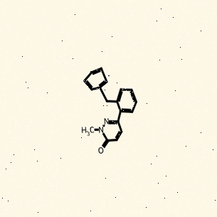 Cn1nc(-c2ccccc2Cc2ccccc2)ccc1=O